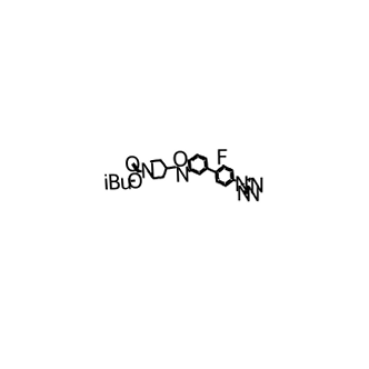 CCC(C)OC(=O)N1CCC(c2nc3cc(-c4ccc(-n5cnnn5)cc4F)ccc3o2)CC1